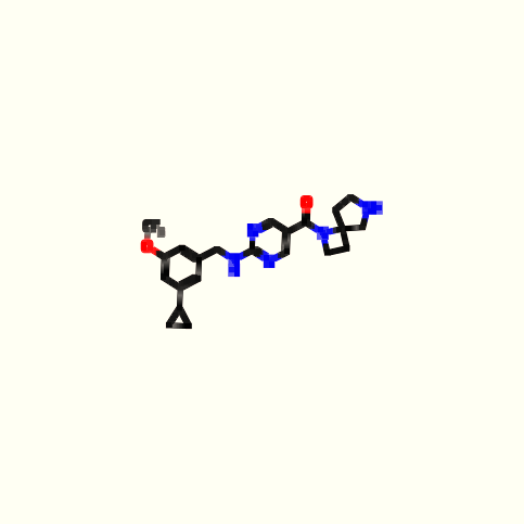 O=C(c1cnc(NCc2cc(OC(F)(F)F)cc(C3CC3)c2)nc1)N1CCC12CCNC2